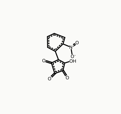 O=c1c(O)c(-c2ccccc2[N+](=O)[O-])c(=O)c1=O